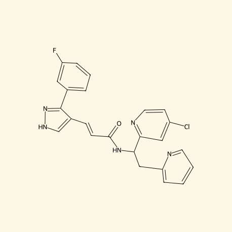 O=C(/C=C/c1c[nH]nc1-c1cccc(F)c1)NC(Cc1ccccn1)c1cc(Cl)ccn1